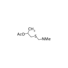 CNCSCC(C)OC(C)=O